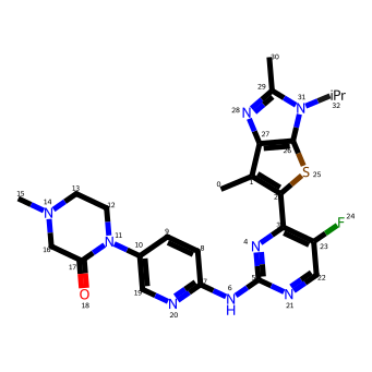 Cc1c(-c2nc(Nc3ccc(N4CCN(C)CC4=O)cn3)ncc2F)sc2c1nc(C)n2C(C)C